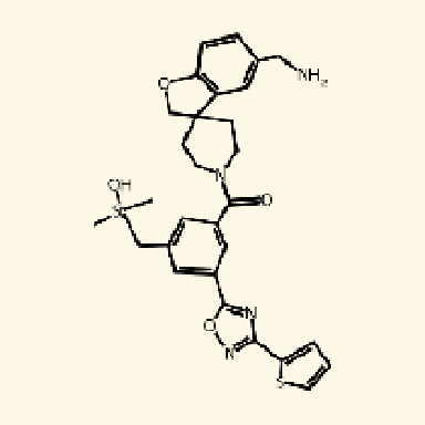 C[Si](C)(O)Cc1cc(C(=O)N2CCC3(CC2)COc2ccc(CN)cc23)cc(-c2nc(-c3cccs3)no2)c1